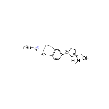 CCCC/C=C/[C@@H]1CCc2cc([C@H]3CC[C@](N)(CO)C3)ccc2C1